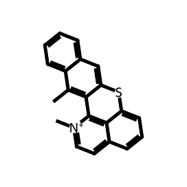 Cc1c2c(cc3ccccc13)Sc1cccc3cc[n+](C)c-2c13